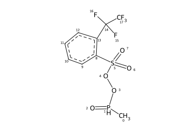 C[PH](=O)OOS(=O)(=O)c1ccccc1C(F)(F)C(F)(F)F